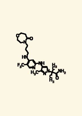 Cc1nn(C(C)(C)C(N)=O)cc1Nc1cc(NCCCN2CCOCCC2=O)c(C(F)(F)F)cn1